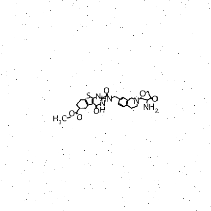 CCOC(=O)C1CCc2sc3nc(C(=O)NCc4ccc5c(c4)CN(C4OCC(=O)C4N)CC5)[nH]c(=O)c3c2C1